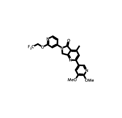 COc1cc(-c2cc(C)c3c(n2)CN(c2ccnc(OCC(F)(F)F)c2)C3=O)cnc1OC